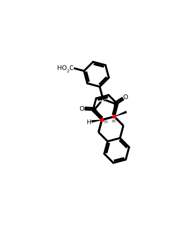 C[C@]12C(=O)N(c3cccc(C(=O)O)c3)C(=O)[C@H]1C1c3ccccc3C2c2ccccc21